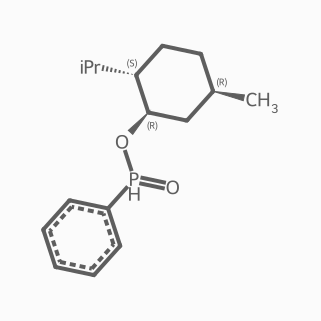 CC(C)[C@@H]1CC[C@@H](C)C[C@H]1O[PH](=O)c1ccccc1